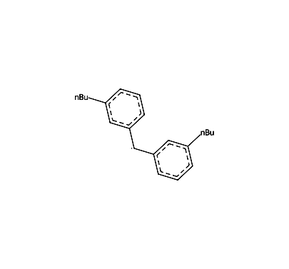 CCCCc1cccc([CH]c2cccc(CCCC)c2)c1